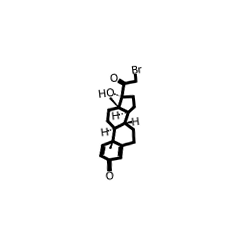 C[C@]12C=CC(=O)C=C1CC[C@@H]1[C@@H]2CC[C@@]2(C)[C@H]1CC[C@]2(O)C(=O)CBr